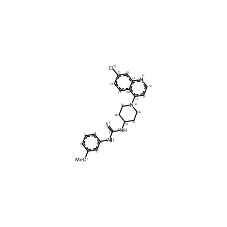 COc1cccc(NC(=S)NC2CCN(c3ccnc4cc(Cl)ccc34)CC2)c1